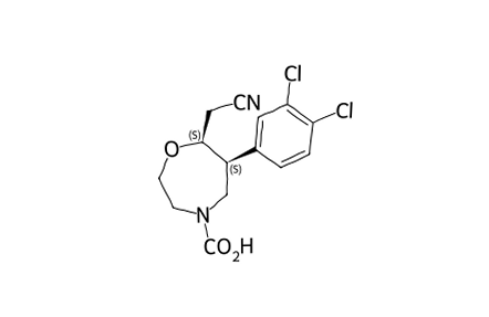 N#CC[C@@H]1OCCN(C(=O)O)C[C@@H]1c1ccc(Cl)c(Cl)c1